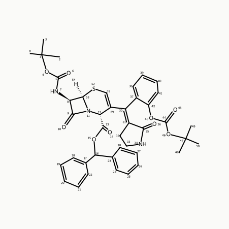 CC(C)(C)OC(=O)N[C@@H]1C(=O)N2[C@@H](C(=O)OC(c3ccccc3)c3ccccc3)C(C(=C3CCNC3=O)c3ccccc3OC(=O)OC(C)(C)C)=CS[C@H]12